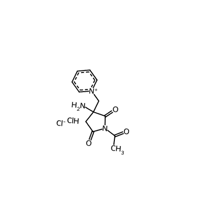 CC(=O)N1C(=O)CC(N)(C[n+]2ccccc2)C1=O.Cl.[Cl-]